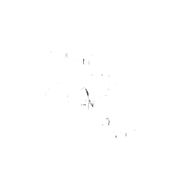 C[C@H](OC=O)C(=O)N[C@@H]1C(=O)N(C)c2ccccc2C2C=CC=CC21